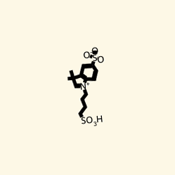 CC1(C)C=[N+](CCCCS(=O)(=O)O)c2ccc(S(=O)(=O)[O-])cc21